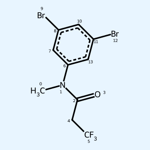 CN(C(=O)CC(F)(F)F)c1cc(Br)cc(Br)c1